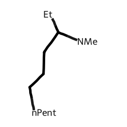 CCCCCCCCC(CC)NC